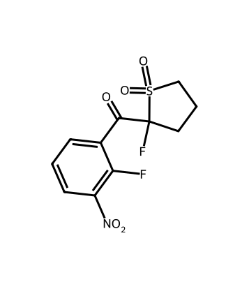 O=C(c1cccc([N+](=O)[O-])c1F)C1(F)CCCS1(=O)=O